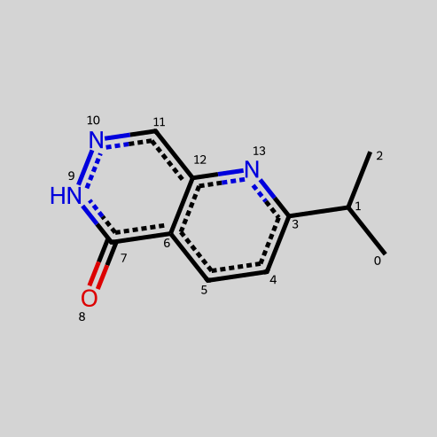 CC(C)c1ccc2c(=O)[nH]ncc2n1